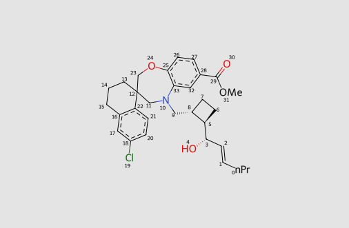 CCC/C=C/[C@H](O)[C@@H]1CC[C@H]1CN1CC2(CCCc3cc(Cl)ccc32)COc2ccc(C(=O)OC)cc21